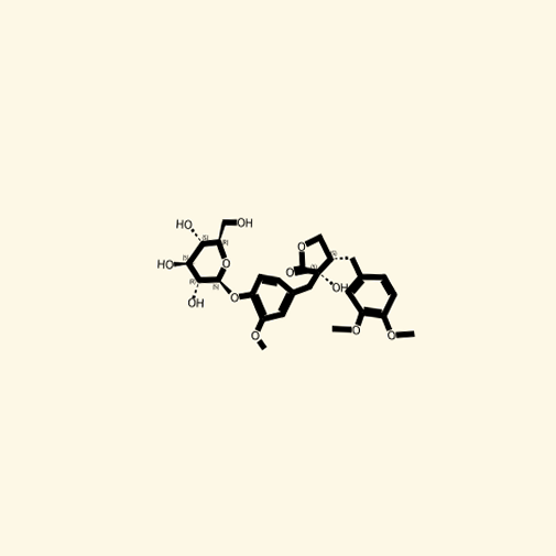 COc1ccc(C[C@H]2COC(=O)[C@]2(O)Cc2ccc(O[C@@H]3O[C@H](CO)[C@@H](O)[C@H](O)[C@H]3O)c(OC)c2)cc1OC